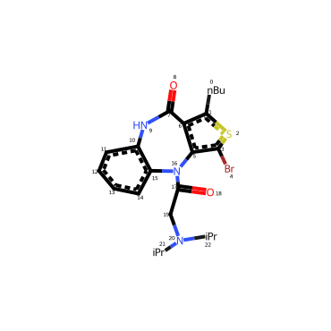 CCCCc1sc(Br)c2c1C(=O)Nc1ccccc1N2C(=O)CN(C(C)C)C(C)C